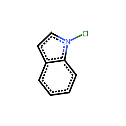 Cln1[c]cc2ccccc21